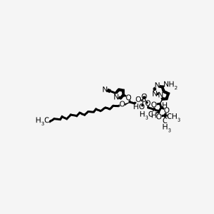 CCCCCCCCCCCCCCCCCCOC[C@H](COP(=O)(O)OC[C@@]1(C)O[C@@H](c2ccc3c(N)ncnn23)[C@@H]2OC(C)(C)O[C@@H]21)Oc1ccc(C#N)nc1